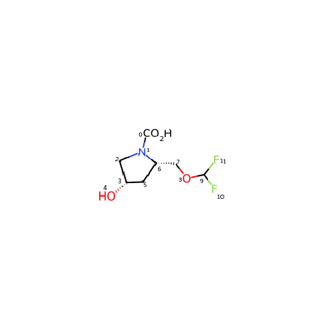 O=C(O)N1C[C@@H](O)C[C@H]1COC(F)F